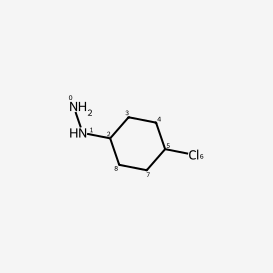 NNC1CCC(Cl)CC1